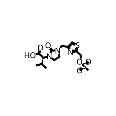 CC(C)[C@@H](C(=O)O)N1CCN(Cc2csc(COS(C)(=O)=O)n2)C1=O